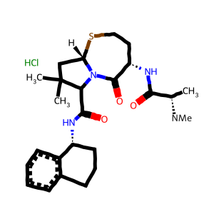 CN[C@@H](C)C(=O)N[C@H]1CCS[C@H]2CC(C)(C)C(C(=O)N[C@@H]3CCCc4ccccc43)N2C1=O.Cl